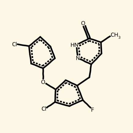 Cc1cc(Cc2cc(Oc3cccc(Cl)c3)c(Cl)cc2F)n[nH]c1=O